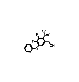 O=[N+]([O-])c1c(CO)cc(Oc2ccccc2)c(F)c1F